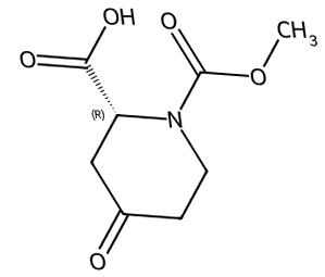 COC(=O)N1CCC(=O)C[C@@H]1C(=O)O